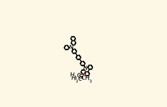 C[Si](C)(C)c1ccc(N(c2ccc(-c3ccc(-c4ccc(N(c5ccccc5)c5ccc6ccccc6c5)cc4)cc3)cc2)c2ccccc2-c2ccccc2)cc1